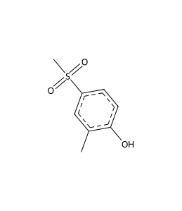 Cc1cc(S(C)(=O)=O)ccc1O